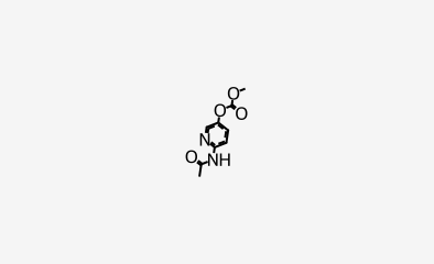 COC(=O)Oc1ccc(NC(C)=O)nc1